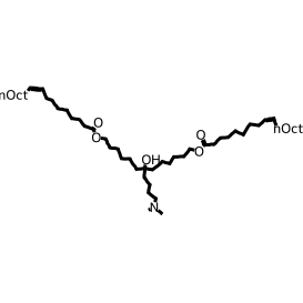 CCCCCCCC/C=C\CCCCCCCC(=O)OCCCCCCC(O)(CCCCCCOC(=O)CCCCCCC/C=C\CCCCCCCC)CCCCN(C)C